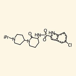 CC(C)N1CCC(N2CCC[C@H](NS(=O)(=O)c3cc4cc(Cl)ccc4[nH]3)C2=O)CC1